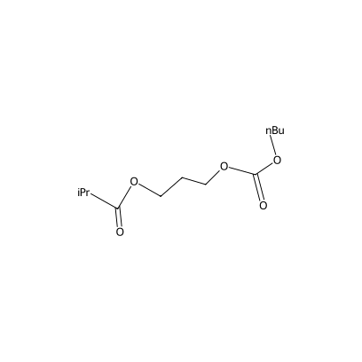 CCCCOC(=O)OCCCOC(=O)C(C)C